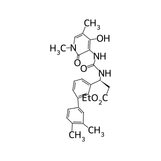 CCOC(=O)C[C@H](NC(=O)Nc1c(O)c(C)cn(C)c1=O)c1cccc(-c2ccc(C)c(C)c2)c1